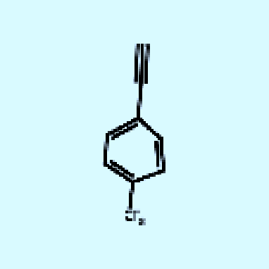 [C]#Cc1ccc(C(F)(F)F)cc1